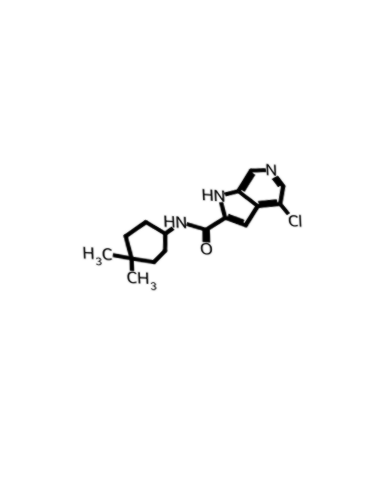 CC1(C)CCC(NC(=O)c2cc3c(Cl)cncc3[nH]2)CC1